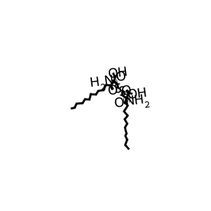 CCCCCCCCCCCC(=O)[C@](N)(CSSC[C@](N)(C(=O)O)C(=O)CCCCCCCCCCC)C(=O)O